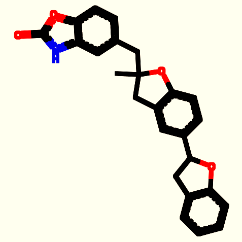 CC1(Cc2ccc3oc(=O)[nH]c3c2)Cc2cc(C3Cc4ccccc4O3)ccc2O1